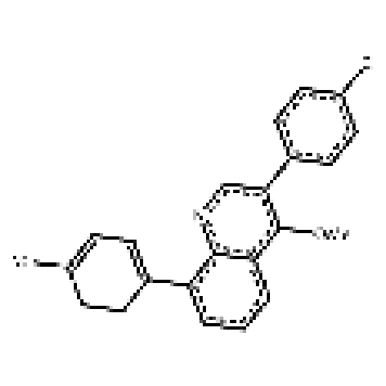 COc1c(-c2ccc(Cl)cc2)cnc2c(C3=CC=C(C#N)CC3)cccc12